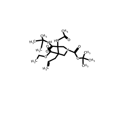 C=CCC1(C(=O)OCC)CN(C(=O)OC(C)(C)C)CC1(NC(C)=O)C(=O)NC(C)(C)C